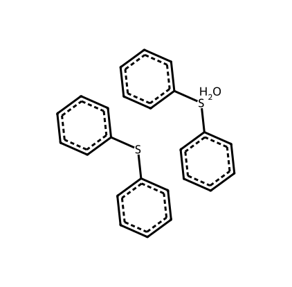 O.c1ccc(Sc2ccccc2)cc1.c1ccc(Sc2ccccc2)cc1